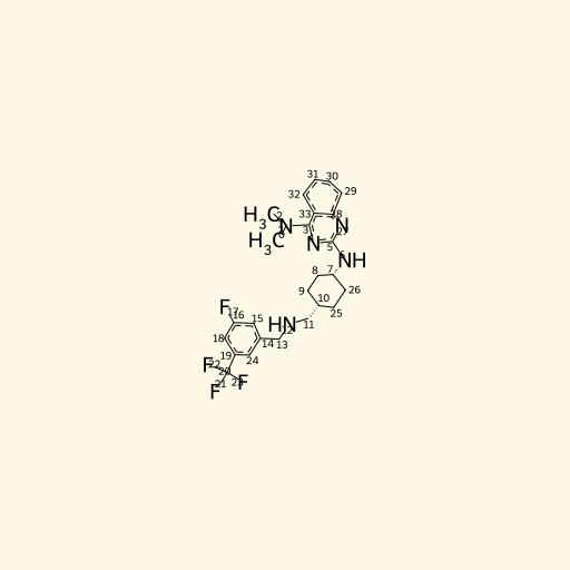 CN(C)c1nc(N[C@H]2CC[C@@H](CNCc3cc(F)cc(C(F)(F)F)c3)CC2)nc2ccccc12